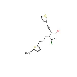 O=C(O)c1ccc(CCC[C@@H]2[C@@H](C#Cc3ccsc3)[C@H](O)C[C@H]2Cl)s1